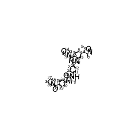 CC1=NOC(C)C1c1ccc2c(N3CCOCC3)nc(-c3ccc(NC(=O)Nc4ccc(C(=O)N5CCCC5)cc4)cc3)nc2c1